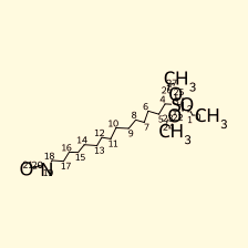 CCO[Si](CCCCCCCCCCCCCCCN=C=O)(OCC)OCC